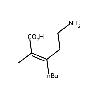 CCCCC(CCN)=C(C)C(=O)O